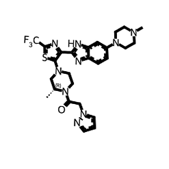 C[C@@H]1CN(c2sc(C(F)(F)F)nc2-c2nc3ccc(N4CCN(C)CC4)cc3[nH]2)CCN1C(=O)Cn1cccn1